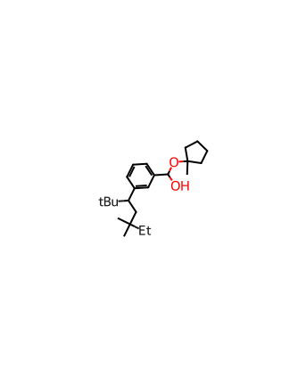 CCC(C)(C)CC(c1cccc(C(O)OC2(C)CCCC2)c1)C(C)(C)C